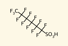 O=S(=O)(O)C(F)(F)C(F)(F)C(F)(F)C(F)(F)C(F)(F)C(F)(F)F